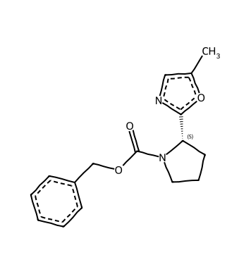 Cc1cnc([C@@H]2CCCN2C(=O)OCc2ccccc2)o1